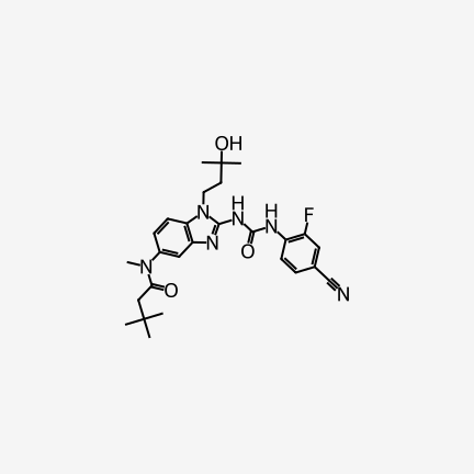 CN(C(=O)CC(C)(C)C)c1ccc2c(c1)nc(NC(=O)Nc1ccc(C#N)cc1F)n2CCC(C)(C)O